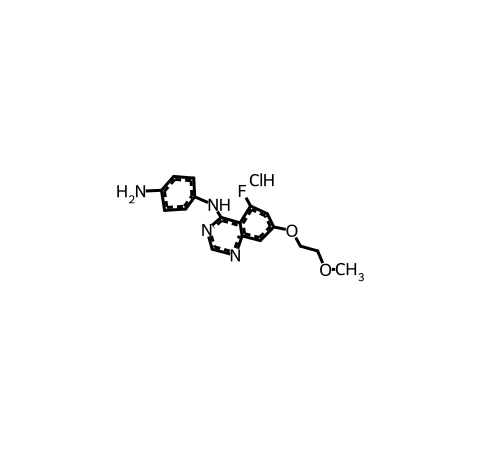 COCCOc1cc(F)c2c(Nc3ccc(N)cc3)ncnc2c1.Cl